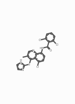 Cc1cnc2c(NC(=O)c3c(Cl)cccc3Cl)ccc(Cl)c2c1Sc1ncc[nH]1